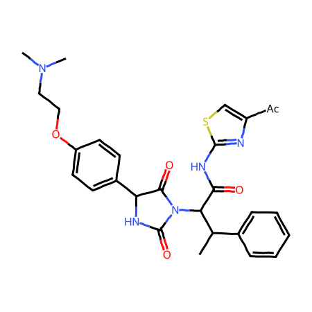 CC(=O)c1csc(NC(=O)C(C(C)c2ccccc2)N2C(=O)NC(c3ccc(OCCN(C)C)cc3)C2=O)n1